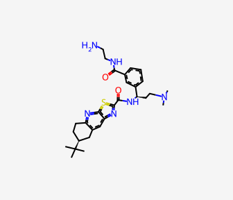 CN(C)CC[C@@H](NC(=O)c1nc2cc3c(nc2s1)CC[C@H](C(C)(C)C)C3)c1cccc(C(=O)NCCN)c1